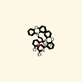 CCc1cccc(-c2cccc3c2N(C(CCN2c4ccccc4Oc4ccccc42)(c2cccc(Cl)n2)S(=O)(=O)O)c2ccccc2O3)n1